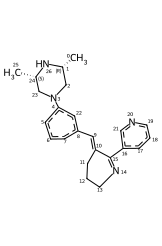 C[C@@H]1CN(c2cccc(C=C3CCCN=C3c3cccnc3)c2)C[C@H](C)N1